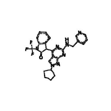 O=C1C(c2nc(NCc3cccnc3)nc3nn(C4CCCC4)cc23)c2ccccc2N1C(F)(F)F